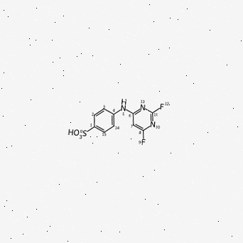 O=S(=O)(O)c1ccc(Nc2cc(F)nc(F)n2)cc1